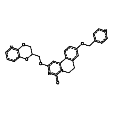 O=c1nc(OCC2COc3ncccc3O2)cc2n1CCc1cc(OCc3ccncc3)ccc1-2